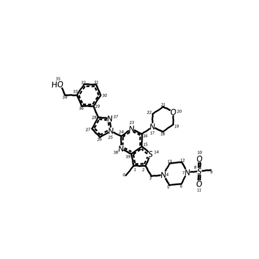 Cc1c(CN2CCN(S(C)(=O)=O)CC2)sc2c(N3CCOCC3)nc(-n3ccc(-c4cccc(CO)c4)n3)nc12